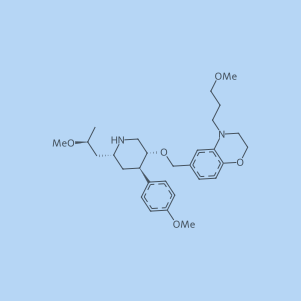 COCCCN1CCOc2ccc(CO[C@H]3CN[C@@H](C[C@H](C)OC)C[C@@H]3c3ccc(OC)cc3)cc21